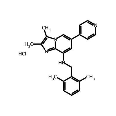 Cc1cccc(C)c1CNc1cc(-c2ccncc2)cn2c(C)c(C)nc12.Cl